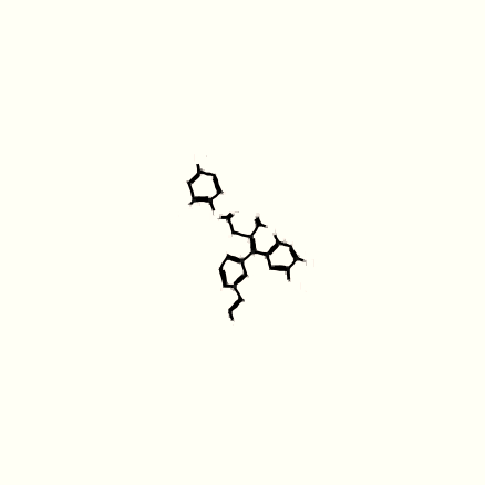 Cc1cc2c(-c3cccc(/C=C/C=O)c3)c(CC(=O)Nc3ccc(F)cc3C(F)(F)F)c(=O)oc2cc1Cl